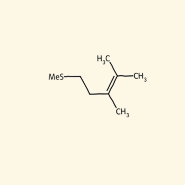 [CH2]SCCC(C)=C(C)C